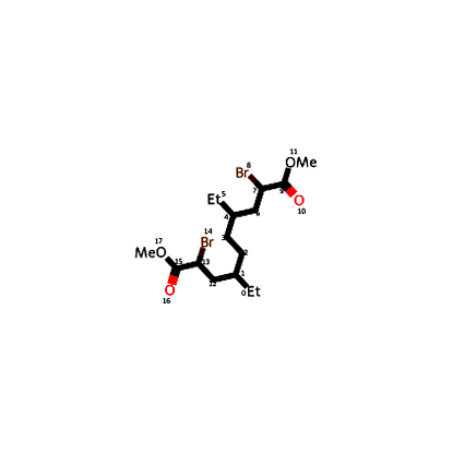 CCC(CCC(CC)CC(Br)C(=O)OC)CC(Br)C(=O)OC